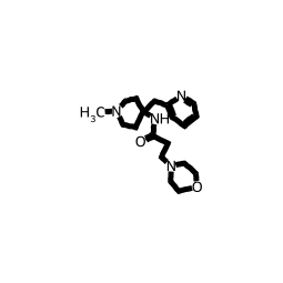 CN1CCC(Cc2ccccn2)(NC(=O)CCN2CCOCC2)CC1